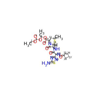 CCOC(=O)OC(C)OC(=O)C1=CC(C)S[C@H]2C(NC(=O)C(=NOC3C=CCC3)c3nsc(N)n3)C(=O)N12